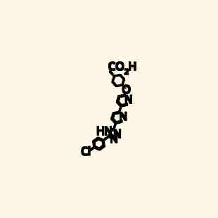 O=C(O)C[C@H]1CC[C@H](Oc2ccc(-c3ccc(-c4nnc(-c5ccc(Cl)cc5)[nH]4)cn3)cn2)CC1